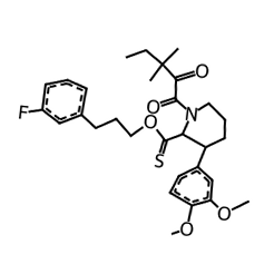 CCC(C)(C)C(=O)C(=O)N1CCCC(c2ccc(OC)c(OC)c2)C1C(=S)OCCCc1cccc(F)c1